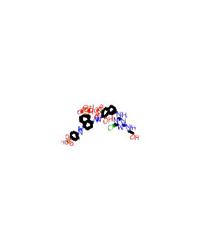 O=S(=O)(O)c1ccc(/N=N/c2ccc(/N=N/c3c(S(=O)(=O)O)cc4ccc(Nc5nc(Cl)nc(NCCO)n5)cc4c3O)c3cc(S(=O)(=O)O)ccc23)cc1